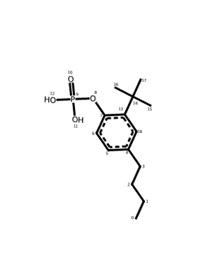 CCCCc1ccc(OP(=O)(O)O)c(C(C)(C)C)c1